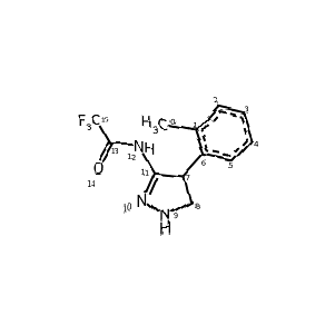 Cc1ccccc1C1CNN=C1NC(=O)C(F)(F)F